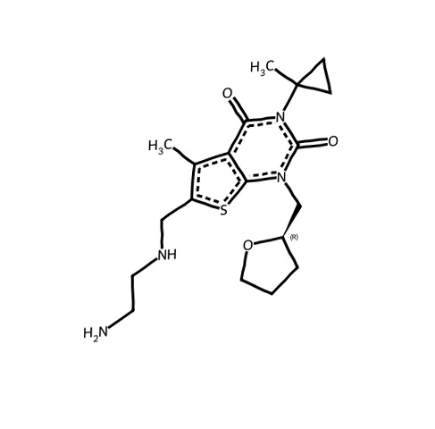 Cc1c(CNCCN)sc2c1c(=O)n(C1(C)CC1)c(=O)n2C[C@H]1CCCO1